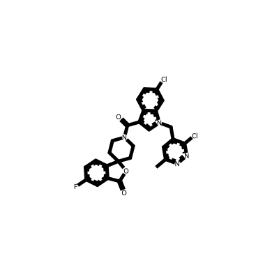 Cc1cc(Cn2cc(C(=O)N3CCC4(CC3)OC(=O)c3cc(F)ccc34)c3ccc(Cl)cc32)c(Cl)nn1